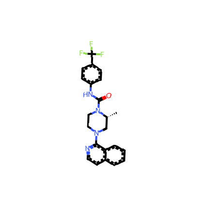 C[C@@H]1CN(c2nccc3ccccc23)CCN1C(=O)Nc1ccc(C(F)(F)F)cc1